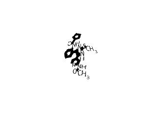 CSc1nc(-c2ccccc2NC(=O)C2CCCC2)c(-c2ccnc(NC(C)=O)c2)[nH]1